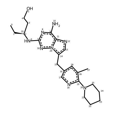 CC[C@@H](CCO)Nc1nc(N)c2ncc(Cc3cnc(N4CCCCC4)c(C)c3)n2n1